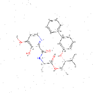 COc1ccnc(C(=O)N[C@@H](C)C(=O)O[C@@H](C)[C@H](Oc2cccc(-c3ccccc3)c2)C(C)C)c1O